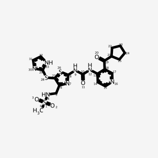 CS(=O)(=O)NCc1nc(NC(=O)Nc2ccncc2C(=O)C2CCCC2)sc1Sc1ncc[nH]1